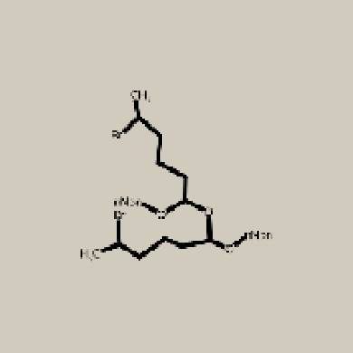 CCCCCCCCCOC(CCCC(C)Br)OC(CCCC(C)Br)OCCCCCCCCC